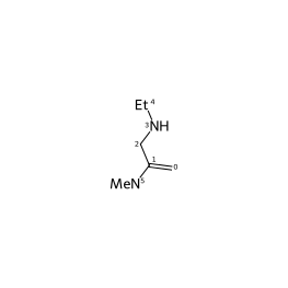 C=C(CNCC)NC